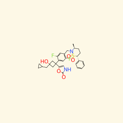 C[C@H]1CC[C@H](c2ccccc2)S(=O)(=O)N1Cc1cc(F)c(C2(c3c[nH]c(=O)o3)CC(O)(CC3CC3)C2)cc1F